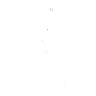 Cl.O=C(O)CCCC1CCN(C(=O)N2CCN(c3ccncc3)CC2)CC1